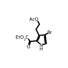 CCOC(=O)C(=O)c1[nH]cc(Br)c1CCOC(C)=O